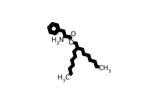 CCCCCCCC(CCCCCCC)COC(=O)[C@@H](N)Cc1ccccc1